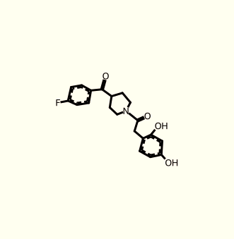 O=C(c1ccc(F)cc1)C1CCN(C(=O)Cc2ccc(O)cc2O)CC1